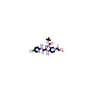 COCC(=S)N1CCC(NC(=O)C(=O)Nc2ccc(Cl)cn2)C(NC(=O)OC(C)(C)C)C1